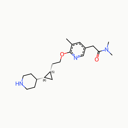 Cc1cc(CC(=O)N(C)C)cnc1OCC[C@@H]1C[C@@H]1C1CCNCC1